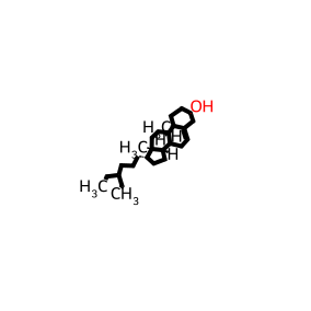 CCC(CC)CCC[C@H]1CC[C@H]2[C@@H]3CC=C4C[C@@H](O)CC[C@]4(C)[C@H]3CC[C@]12C